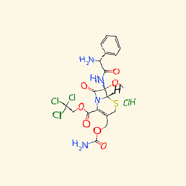 CO[C@@]1(NC(=O)C(N)c2ccccc2)C(=O)N2C(C(=O)OCC(Cl)(Cl)Cl)=C(COC(N)=O)CS[C@H]21.Cl